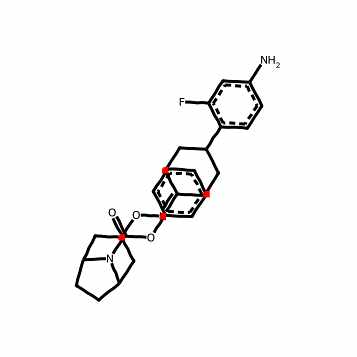 Nc1ccc(C2CCC(=NOC3CC4CCC(C3)N4C(=O)Oc3ccccc3)CC2)c(F)c1